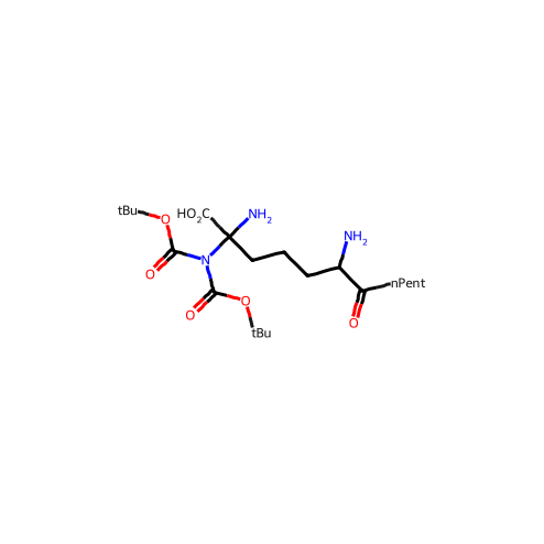 CCCCCC(=O)C(N)CCCC(N)(C(=O)O)N(C(=O)OC(C)(C)C)C(=O)OC(C)(C)C